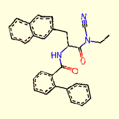 CCN(C#N)C(=O)C(Cc1ccc2ccccc2c1)NC(=O)c1ccccc1-c1ccccc1